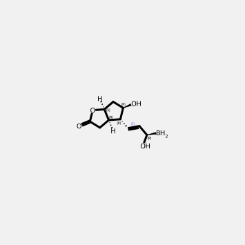 B[C@@H](O)/C=C/[C@@H]1[C@H]2CC(=O)O[C@H]2C[C@H]1O